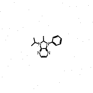 CC(C)N1c2nccnc2N(c2ccccc2)C1C